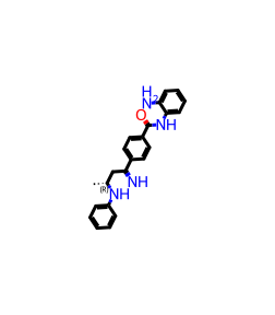 C[C@H](CC(=N)c1ccc(C(=O)Nc2ccccc2N)cc1)Nc1ccccc1